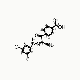 N#CC(=NNc1cc(Cl)cc(Cl)c1)C(=O)c1ccc(C(=O)O)cc1